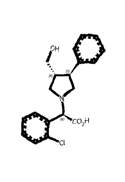 O=C(O)[C@@H](c1ccccc1Cl)N1C[C@H](CO)[C@@H](c2ccccc2)C1